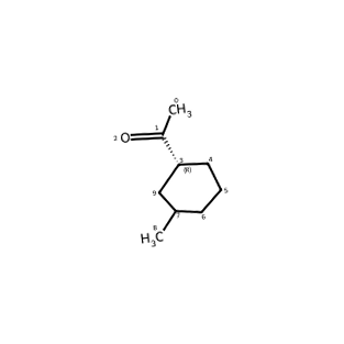 CC(=O)[C@@H]1CCCC(C)C1